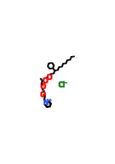 CCCCCCCCCC(CCOCOC(C)COCCOCC[n+]1ccccc1)C1CCCCC1.[Cl-]